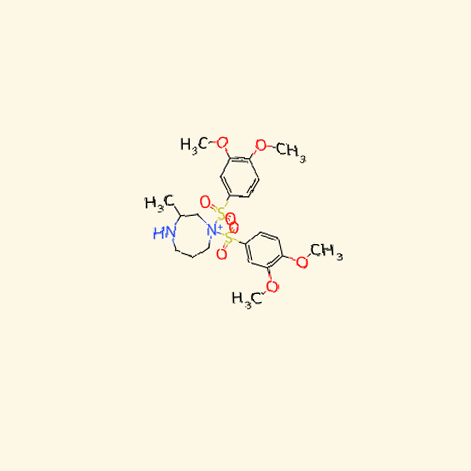 COc1ccc(S(=O)(=O)[N+]2(S(=O)(=O)c3ccc(OC)c(OC)c3)CCCNC(C)C2)cc1OC